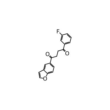 O=C(CCC(=O)c1ccc2occc2c1)c1cccc(F)c1